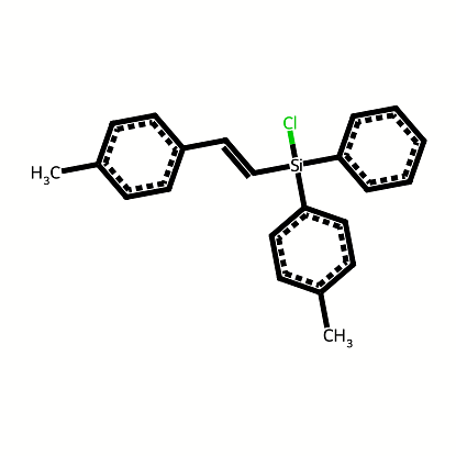 Cc1ccc(/C=C/[Si](Cl)(c2ccccc2)c2ccc(C)cc2)cc1